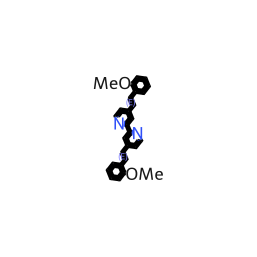 COc1ccccc1/C=C/c1ccnc(-c2cc(/C=C/c3ccccc3OC)ccn2)c1